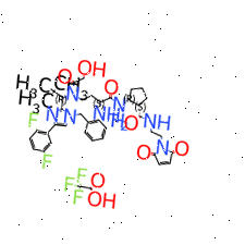 CC(C)(C)[C@H](c1nc(-c2cc(F)ccc2F)cn1Cc1ccccc1)N(CC[C@H](N)C(=O)N[C@@H]1CCC[C@@H]1C(=O)NCCN1C(=O)C=CC1=O)C(=O)CO.O=C(O)C(F)(F)F